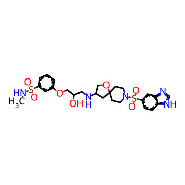 CNS(=O)(=O)c1cccc(OCC(O)CNC2COC3(CCN(S(=O)(=O)c4ccc5[nH]cnc5c4)CC3)C2)c1